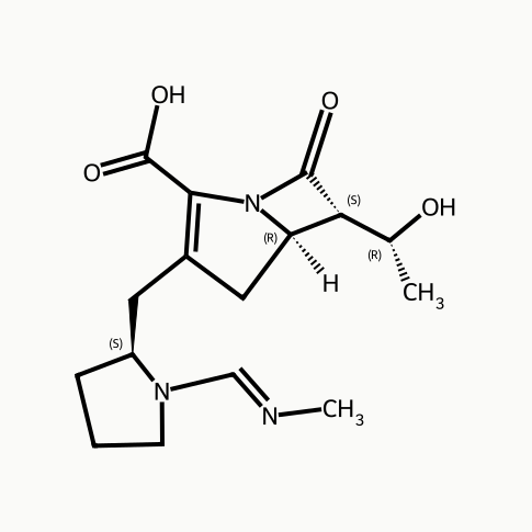 CN=CN1CCC[C@H]1CC1=C(C(=O)O)N2C(=O)[C@H]([C@@H](C)O)[C@H]2C1